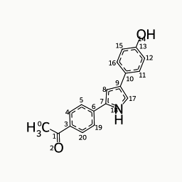 CC(=O)c1ccc(-c2cc(-c3ccc(O)cc3)c[nH]2)cc1